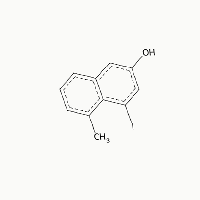 Cc1cccc2cc(O)cc(I)c12